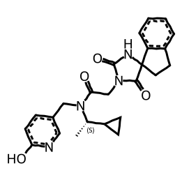 C[C@@H](C1CC1)N(Cc1ccc(O)nc1)C(=O)CN1C(=O)NC2(CCc3ccccc32)C1=O